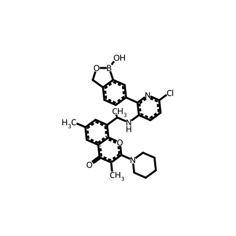 Cc1cc([C@@H](C)Nc2ccc(Cl)nc2-c2ccc3c(c2)B(O)OC3)c2oc(N3CCCCC3)c(C)c(=O)c2c1